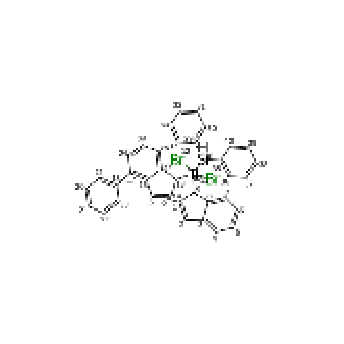 CC1=Cc2ccccc2[CH]1[Ti]([Br])([Br])([CH]1C=Cc2c(-c3ccccc3)cccc21)[SiH](c1ccccc1)c1ccccc1